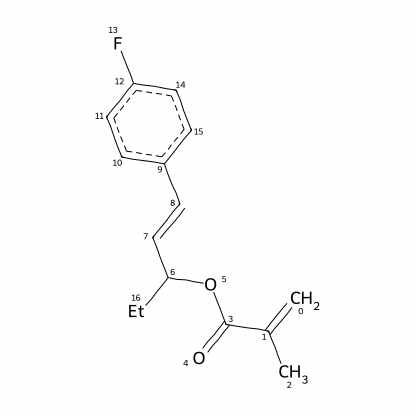 C=C(C)C(=O)OC(/C=C/c1ccc(F)cc1)CC